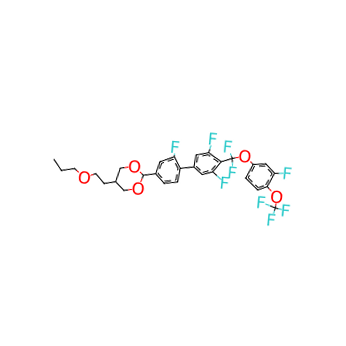 CCCOCCC1COC(c2ccc(-c3cc(F)c(C(F)(F)Oc4ccc(OC(F)(F)F)c(F)c4)c(F)c3)c(F)c2)OC1